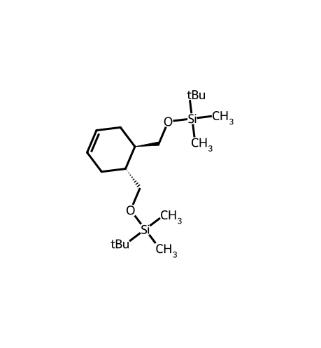 CC(C)(C)[Si](C)(C)OC[C@@H]1CC=CC[C@H]1CO[Si](C)(C)C(C)(C)C